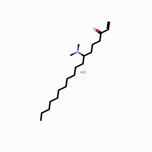 C=CC(=O)CCCC(CCCCCCCCCCC)N(C)C.Cl